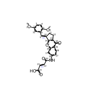 COc1ccc(OC)c(/C=C2\CCc3c2oc2cc(NC(=O)/C=C/C(=O)O)ccc2c3=O)c1